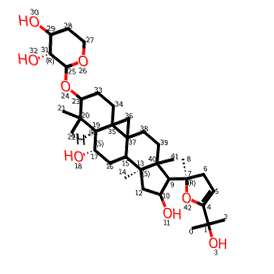 CC(C)(O)C1=CC[C@](C)(C2C(O)C[C@@]3(C)C4C[C@H](O)[C@H]5C(C)(C)C(OC6OCCC(O)[C@H]6O)CCC56CC46CCC23C)O1